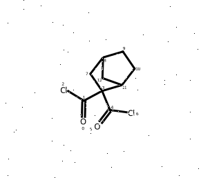 O=C(Cl)C1(C(=O)Cl)CC2CCC1C2